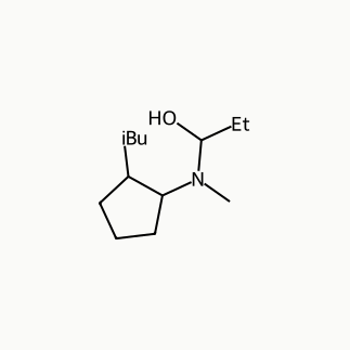 CCC(C)C1CCCC1N(C)C(O)CC